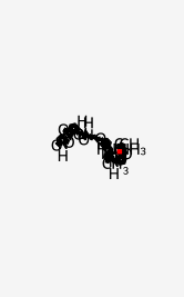 Cc1cnc(Nc2ccc(OCCCNC(=O)NOc3cccc4c3CN([C@H]3CCC(=O)NC3=O)C4=O)cc2)nc1Nc1cccc(S(=O)(=O)NC(C)(C)C)c1